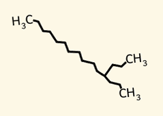 CCCCCCCCCCCC(CCC)CCC